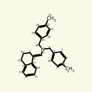 Cc1ccc(CN(/C=C2\CCCc3ccccc32)Cc2ccc(C)cc2)cc1